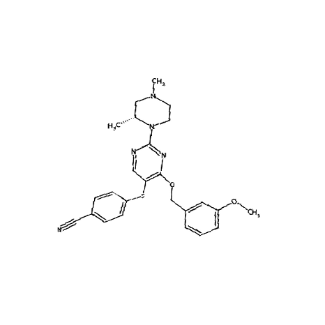 COc1cccc(COc2nc(N3CCN(C)C[C@H]3C)ncc2Sc2ccc(C#N)cc2)c1